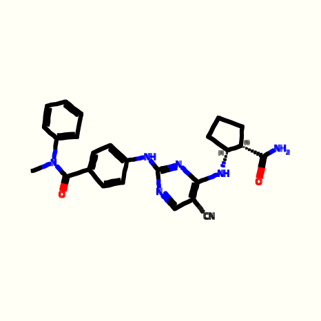 CN(C(=O)c1ccc(Nc2ncc(C#N)c(N[C@@H]3CCC[C@@H]3C(N)=O)n2)cc1)c1ccccc1